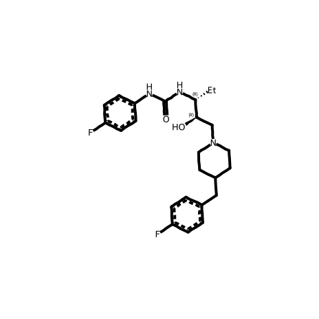 CC[C@@H](NC(=O)Nc1ccc(F)cc1)[C@H](O)CN1CCC(Cc2ccc(F)cc2)CC1